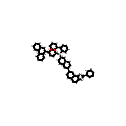 c1ccc(-c2nc3c(ccc4ccc(-c5ccc6cc(N(c7ccc(-c8cc9ccccc9c9ccccc89)cc7)c7ccccc7-c7ccccc7)ccc6c5)cc43)o2)cc1